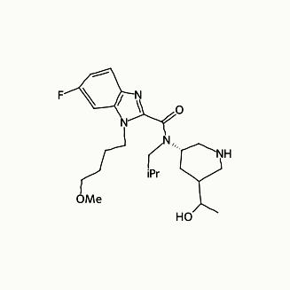 COCCCCn1c(C(=O)N(CC(C)C)[C@@H]2CNCC(C(C)O)C2)nc2ccc(F)cc21